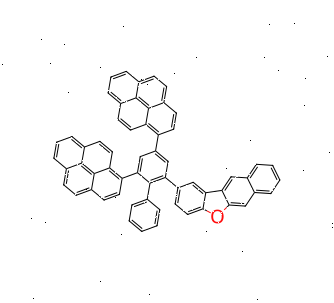 c1ccc(-c2c(-c3ccc4oc5cc6ccccc6cc5c4c3)cc(-c3ccc4ccc5cccc6ccc3c4c56)cc2-c2ccc3ccc4cccc5ccc2c3c45)cc1